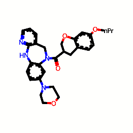 CCCOc1ccc2c(c1)OCC(C(=O)N1Cc3cccnc3Nc3ccc(N4CCOCC4)cc31)C2